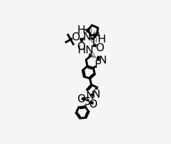 CC(C)(C)OC(=O)N1[C@@H]2CC[C@@H](C2)[C@H]1C(=O)N[C@H](C#N)Cc1ccc(-c2cnn(S(=O)(=O)c3ccccc3)c2)cc1F